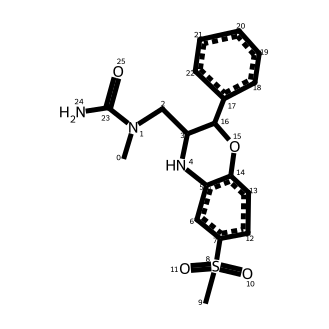 CN(CC1Nc2cc(S(C)(=O)=O)ccc2OC1c1ccccc1)C(N)=O